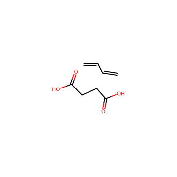 C=CC=C.O=C(O)CCC(=O)O